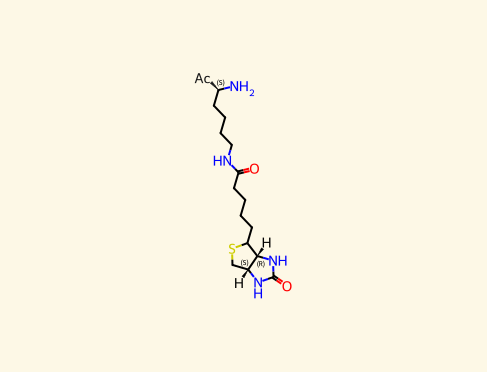 CC(=O)[C@@H](N)CCCCNC(=O)CCCCC1SC[C@H]2NC(=O)N[C@@H]12